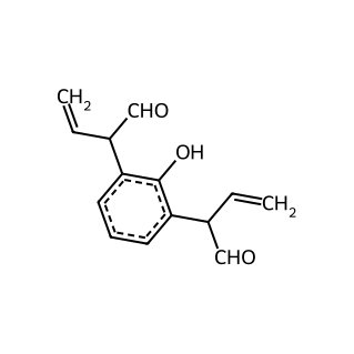 C=CC(C=O)c1cccc(C(C=C)C=O)c1O